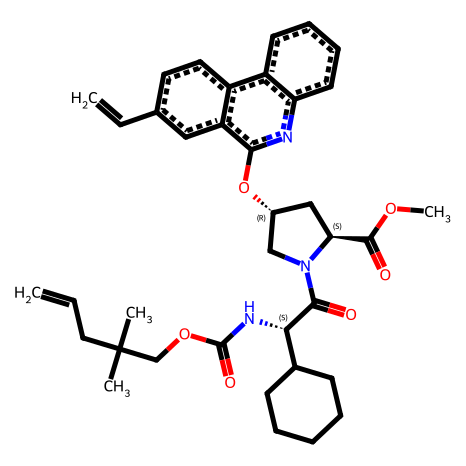 C=CCC(C)(C)COC(=O)N[C@H](C(=O)N1C[C@H](Oc2nc3ccccc3c3ccc(C=C)cc23)C[C@H]1C(=O)OC)C1CCCCC1